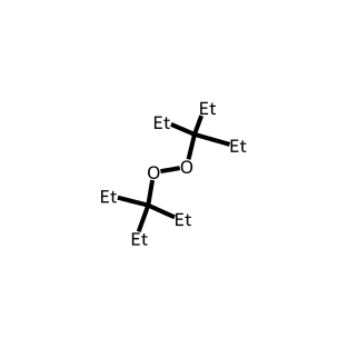 CCC(CC)(CC)OOC(CC)(CC)CC